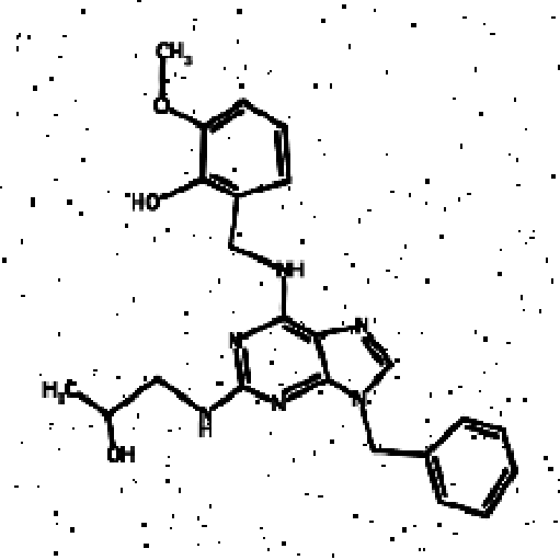 COc1cccc(CNc2nc(NCC(C)O)nc3c2ncn3Cc2ccccc2)c1O